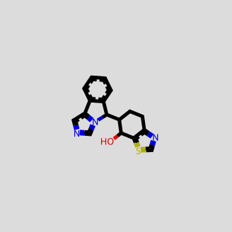 OC1c2scnc2CCC1C1c2ccccc2-c2cncn21